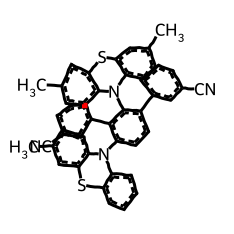 Cc1ccc2c(c1)Sc1ccccc1N2c1ccc(-c2cccc(C#N)c2)c(N2c3ccc(C)cc3Sc3cc(C)ccc32)c1-c1cccc(C#N)c1